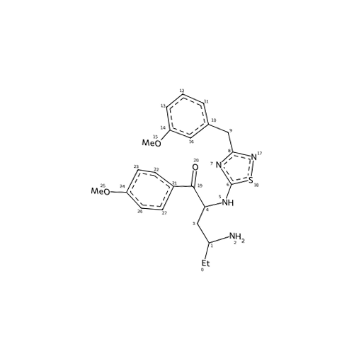 CCC(N)CC(Nc1nc(Cc2cccc(OC)c2)ns1)C(=O)c1ccc(OC)cc1